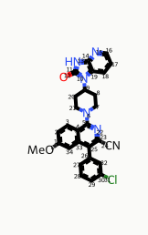 COc1ccc2c(N3CCC(n4c(=O)[nH]c5ncccc54)CC3)nc(C#N)c(-c3cccc(Cl)c3)c2c1